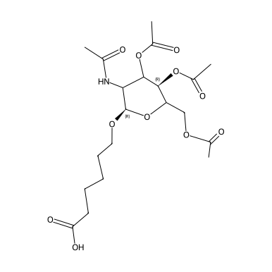 CC(=O)NC1C(OC(C)=O)[C@@H](OC(C)=O)C(COC(C)=O)O[C@H]1OCCCCCC(=O)O